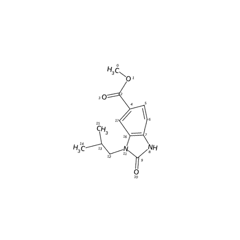 COC(=O)c1ccc2[nH]c(=O)n(CC(C)C)c2c1